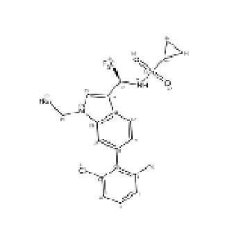 Cc1cccc(Cl)c1-c1ccc2c([C@H](NS(=O)(=O)C3CC3)C(F)(F)F)cn(CC(C)(C)C)c2c1